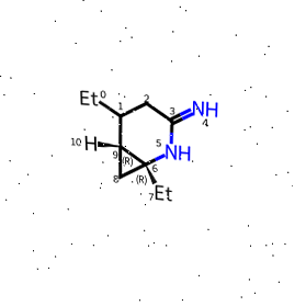 CCC1CC(=N)N[C@]2(CC)C[C@H]12